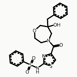 O=C(c1csc(NS(=O)(=O)c2ccccc2)n1)N1CCOCC(O)(Cc2ccccc2)C1